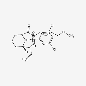 C=C[C@H]1CN(CCCCOC)C(=O)C2CCC[C@@H]1N2S(=O)(=O)c1cc(Cl)cc(Cl)c1